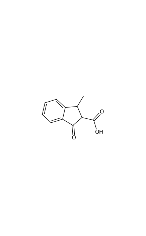 CC1c2ccccc2C(=O)C1C(=O)O